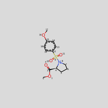 COC(=O)[C@@H]1CCCN1S(=O)(=O)c1ccc(OC)cc1